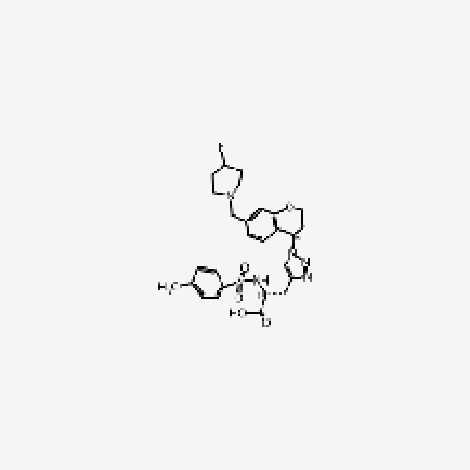 Cc1ccc(S(=O)(=O)N[C@H](Cc2cn([C@@H]3CCOc4cc(CN5CCC(F)CC5)ccc43)nn2)C(=O)O)cc1